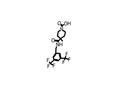 CC1(C(=O)NCc2cc(C(F)(F)F)cc(C(F)(F)F)c2)CCN(C(=O)O)CC1